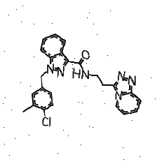 Cc1cc(Cn2nc(C(=O)NCCc3nnc4ccccn34)c3ccccc32)ccc1Cl